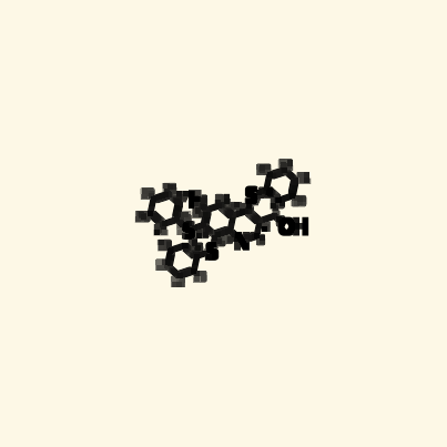 OCc1cnc2c(Sc3ccccc3)c(Sc3ccccc3)c(F)cc2c1Sc1ccccc1